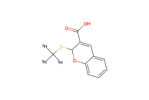 [2H]C([2H])([2H])SC1Oc2ccccc2C=C1C(=O)O